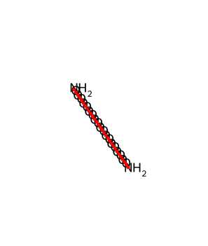 NCCOCCOCCOCCOCCOCCOCCOCCOCCOCCOCCOCCOCCOCCOCCOCCOCCOCCOCCOCN